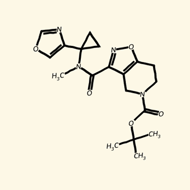 CN(C(=O)c1noc2c1CN(C(=O)OC(C)(C)C)CC2)C1(c2cocn2)CC1